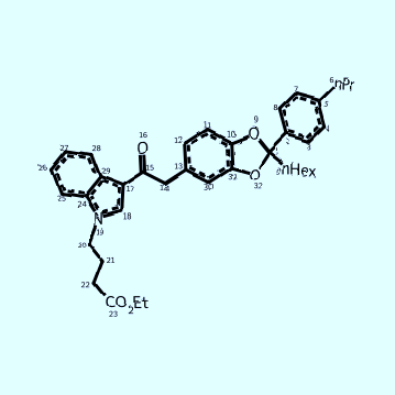 CCCCCCC1(c2ccc(CCC)cc2)Oc2ccc(CC(=O)c3cn(CCCC(=O)OCC)c4ccccc34)cc2O1